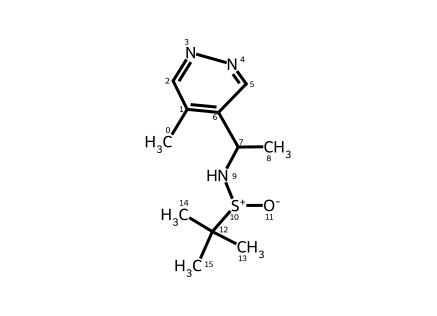 Cc1cnncc1C(C)N[S+]([O-])C(C)(C)C